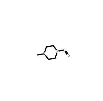 CN1CCN(P=O)CC1